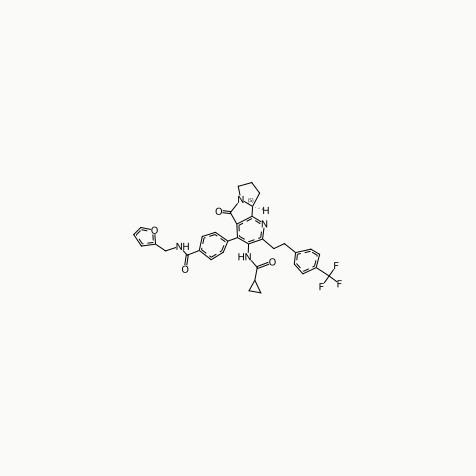 O=C(NCc1ccco1)c1ccc(-c2c(NC(=O)C3CC3)c(CCc3ccc(C(F)(F)F)cc3)nc3c2C(=O)N2CCC[C@@H]32)cc1